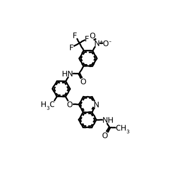 CC(=O)Nc1cccc2c(Oc3cc(NC(=O)c4ccc([N+](=O)[O-])c(C(F)(F)F)c4)ccc3C)ccnc12